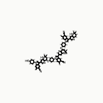 Cc1cc2c(cc1C#N)c(-c1cnc3c(c1)NC(C)(C)CC3O[C@H]1CC[C@@H](n3cc(-c4cnc5c(c4)NC(C)(C)C=C5O[C@H]4CC[C@H](n5cc(-c6cnc7c(c6)NC(C)(C)CC7)c6cc(C#N)c(C)cc65)CC4)c4cc(C#N)c(C)cc43)CC1)cn2[C@H]1CC[C@@H](O)CC1